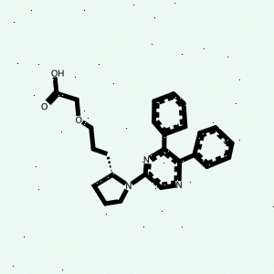 O=C(O)COCCC[C@H]1CCCN1c1cnc(-c2ccccc2)c(-c2ccccc2)n1